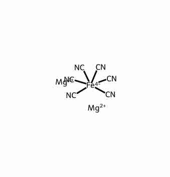 N#[C][Fe-4]([C]#N)([C]#N)([C]#N)([C]#N)[C]#N.[Mg+2].[Mg+2]